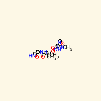 CNCc1cc(NC(=O)OC[C@H](C)c2ccc(C(C=O)Nc3ccc4cc[nH]c(=O)c4c3)cc2C)ccc1N1CCCC1=O